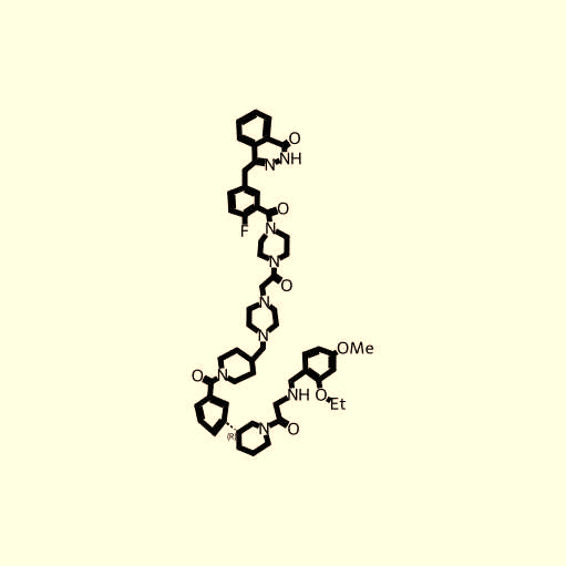 CCOc1cc(OC)ccc1CNCC(=O)N1CCC[C@H](c2cccc(C(=O)N3CCC(CN4CCN(CC(=O)N5CCN(C(=O)c6cc(Cc7n[nH]c(=O)c8ccccc78)ccc6F)CC5)CC4)CC3)c2)C1